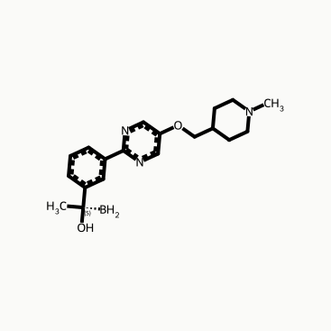 B[C@@](C)(O)c1cccc(-c2ncc(OCC3CCN(C)CC3)cn2)c1